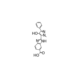 Cn1nc(-c2ccccc2)c(O)c1-c1nc2ccc(C(=O)O)cc2[nH]1